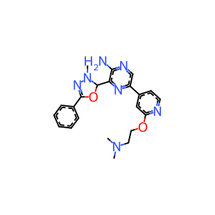 CN(C)CCOc1cc(-c2cnc(N)c(C3OC(c4ccccc4)=NN3C)n2)ccn1